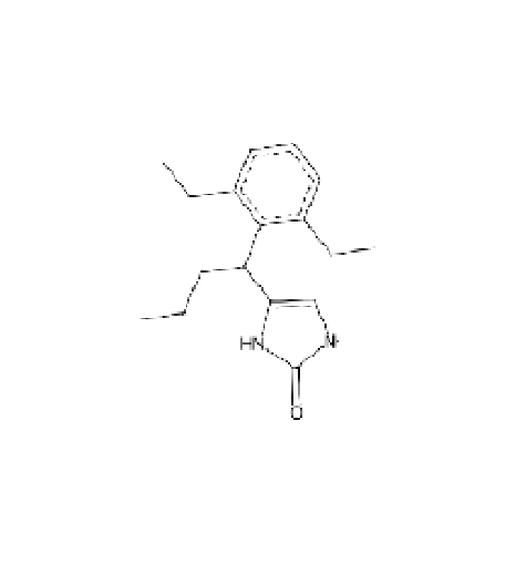 CCCC(C1=C[N]C(=O)N1)c1c(CC)cccc1CC